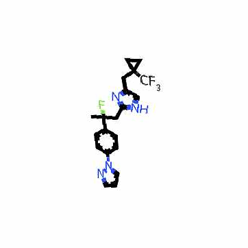 CC(F)(Cc1nc(CC2(C(F)(F)F)CC2)c[nH]1)c1ccc(-n2cccn2)cc1